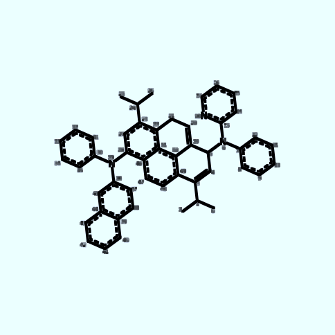 CC(C)C1=CC(N(c2ccccc2)c2ccccn2)C2=CCc3c(C(C)C)cc(N(c4ccccc4)c4ccc5ccccc5c4)c4ccc1c2c34